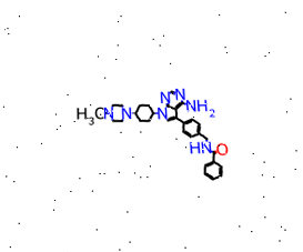 CN1CCN([C@H]2CC[C@H](n3cc(-c4ccc(CNC(=O)c5ccccc5)cc4)c4c(N)ncnc43)CC2)CC1